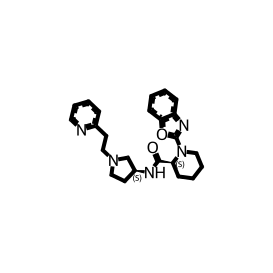 O=C(N[C@H]1CCN(CCc2ccccn2)C1)[C@@H]1CCCCN1c1nc2ccccc2o1